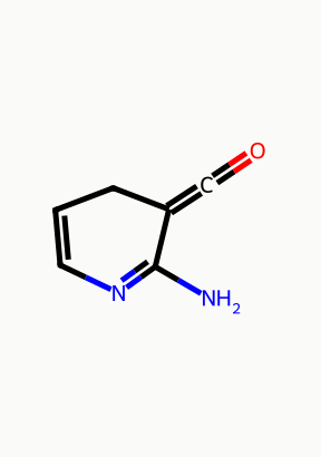 NC1=NC=CCC1=C=O